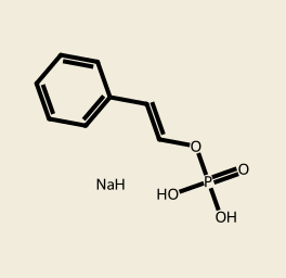 O=P(O)(O)OC=Cc1ccccc1.[NaH]